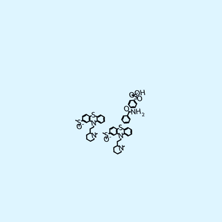 CN1CCCCC1CCN1c2ccccc2Sc2ccc([S+](C)[O-])cc21.CN1CCCCC1CCN1c2ccccc2Sc2ccc([S+](C)[O-])cc21.NC(=O)c1ccccc1.O=S(=O)(O)c1ccccc1